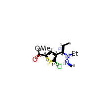 C=NN(CC)/C(=C\C)c1cc(C(=O)OC)sc1Cl